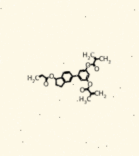 C=CC(=O)OC1CCc2cc(-c3cc(OC(=O)C(=C)C)cc(OC(=O)C(=C)C)c3)ccc21